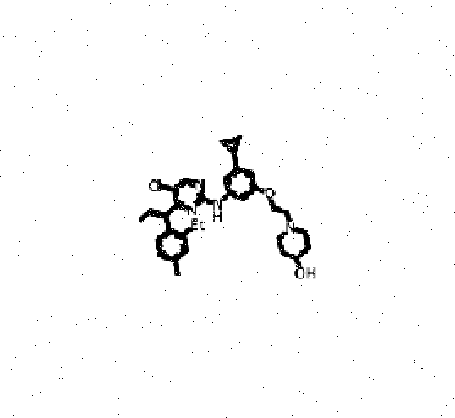 C/C=C(\c1ccc(C)cc1CC)c1nc(Nc2cc(OCCN3CCC(O)CC3)cc(C3CC3)c2)ncc1Cl